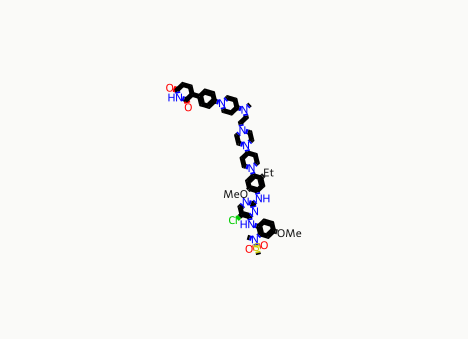 CCc1cc(Nc2ncc(Cl)c(Nc3ccc(OC)cc3N(C)S(C)(=O)=O)n2)c(OC)cc1N1CCC(N2CCN(CCN(C)C3CCN(c4ccc(C5CCC(=O)NC5=O)cc4)CC3)CC2)CC1